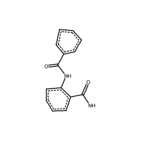 [NH]C(=O)c1ccccc1NC(=O)c1ccccc1